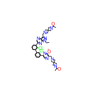 CCn1nc(CN2CC3(C2)CN(C(C)=O)C3)c2ncc(-c3cccc(-c4cccc(-c5cnc(CN6CC7(C6)CN(C(C)=O)C7)c(OC)n5)c4Cl)c3Cl)nc21